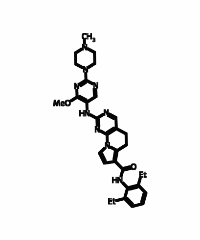 CCc1cccc(CC)c1NC(=O)c1ccn2c1CCc1cnc(Nc3cnc(N4CCN(C)CC4)nc3OC)nc1-2